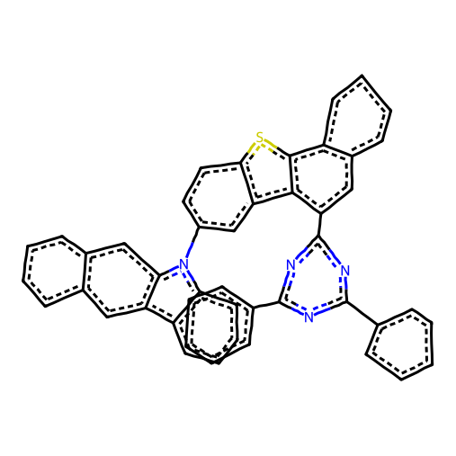 c1ccc(-c2nc(-c3ccccc3)nc(-c3cc4ccccc4c4sc5ccc(-n6c7ccccc7c7cc8ccccc8cc76)cc5c34)n2)cc1